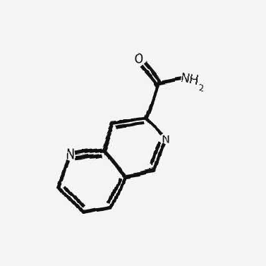 NC(=O)c1cc2ncccc2cn1